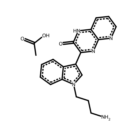 CC(=O)O.NCCCn1cc(-c2nc3ncccc3[nH]c2=O)c2ccccc21